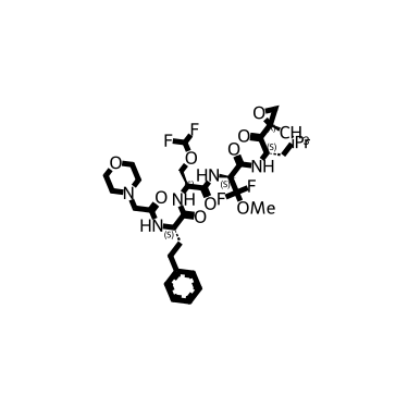 COC(F)(F)[C@@H](NC(=O)[C@H](COC(F)F)NC(=O)[C@H](CCc1ccccc1)NC(=O)CN1CCOCC1)C(=O)N[C@@H](CC(C)C)C(=O)[C@@]1(C)CO1